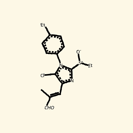 CCc1ccc(-n2c([S+]([O-])CC)nc(C=C(C)C=O)c2Cl)cc1